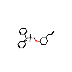 C=CCC1CCCC(OCC(C)(C)[SiH](c2ccccc2)c2ccccc2)C1